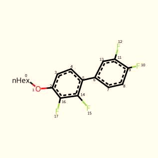 CCCCCCOc1ccc(-c2ccc(F)c(F)c2)c(F)c1F